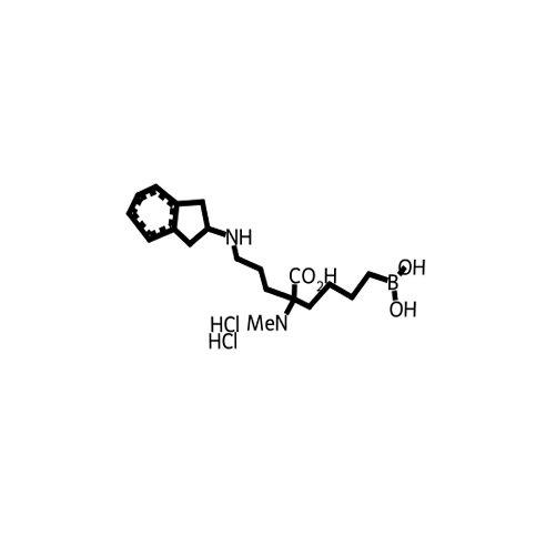 CNC(CCCCB(O)O)(CCCNC1Cc2ccccc2C1)C(=O)O.Cl.Cl